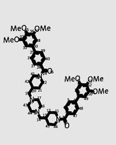 COc1cc(-c2ccc(C(=O)N3CCC(CN4CCN(CC5CCN(C(=O)c6ccc(-c7cc(OC)c(OC)c(OC)c7)cc6)CC5)CC4)CC3)cc2)cc(OC)c1OC